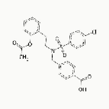 CC(=O)Oc1ccccc1CCN(Cc1ccc(C(=O)O)cc1)S(=O)(=O)c1ccc(Cl)cc1